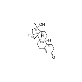 C[C@]12CC[C@H]3[C@@H](CCC4=CC(=O)CC[C@@]43C)[C@@]13C[C@H]3C[C@]2(C)O